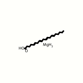 CCCCCC=CCC=CCC=CCC=CCCCC(=O)O.[MgH2]